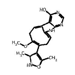 CO/C1=C(\C2=C(C)ONC2C)C/C=c2\[nH]c3ncnc(O)c3c2=CC1